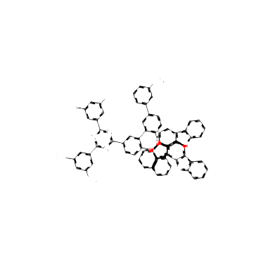 CC(C)(C)c1cc(-c2nc(-c3cc(C(C)(C)C)cc(C(C)(C)C)c3)nc(-c3ccc(-n4c5ccccc5c5c6oc7ccccc7c6ccc54)c(-c4cc(-c5cccc(C#N)c5)ccc4-n4c5ccccc5c5c6oc7ccccc7c6ccc54)c3)n2)cc(C(C)(C)C)c1